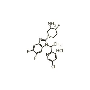 CC(c1ccc(Cl)cn1)n1c(N2CCC(F)[C@H](N)C2)nc2cc(F)c(F)cc21.Cl